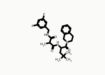 CC(C(=O)NCc1cc(F)cc(F)c1)C(=O)NC(CC(C)(C)C)C(=O)N1CCc2ccccc2C1